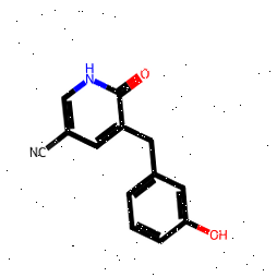 N#Cc1c[nH]c(=O)c(Cc2cccc(O)c2)c1